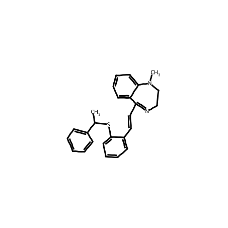 CC(Sc1ccccc1C=CC1=NCCN(C)c2ccccc21)c1ccccc1